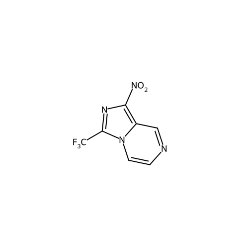 O=[N+]([O-])c1nc(C(F)(F)F)n2ccncc12